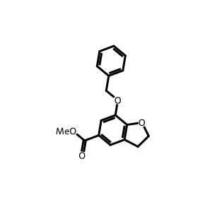 COC(=O)c1cc2c(c(OCc3ccccc3)c1)OCC2